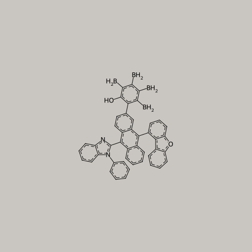 Bc1c(B)c(B)c(-c2ccc3c(-c4nc5ccccc5n4-c4ccccc4)c4ccccc4c(-c4cccc5oc6ccccc6c45)c3c2)c(O)c1B